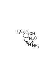 CSCC1=C(C(=O)O)N2C(=O)C(N)[C@@H]2SC1